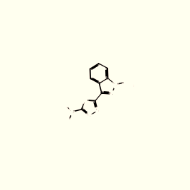 CN(C)c1nnc(-c2nn(C)c3ccccc23)o1